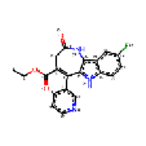 CCOC(=O)C1=C(c2cccnc2)c2[nH]c3ccc(F)cc3c2NC(=O)C1